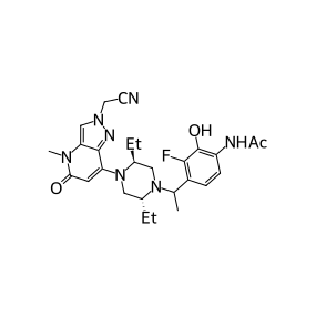 CC[C@H]1CN(C(C)c2ccc(NC(C)=O)c(O)c2F)[C@H](CC)CN1c1cc(=O)n(C)c2cn(CC#N)nc12